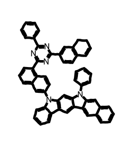 C1=Cc2ccc(-c3nc(-c4ccccc4)nc(-c4cccc5cc(-n6c7ccccc7c7cc8c9cc%10ccccc%10cc9n(-c9ccccc9)c8cc76)ccc45)n3)cc2CC1